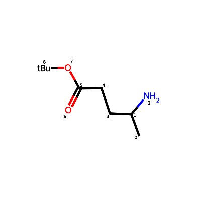 CC(N)CCC(=O)OC(C)(C)C